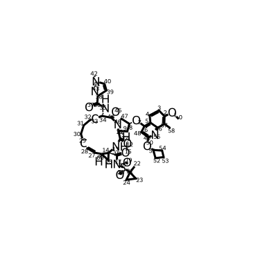 COc1ccc2c(O[C@@H]3C[C@H]4C(=O)N[C@]5(C(=O)NS(=O)(=O)C6(C)CC6)C[C@H]5/C=C\CCCCC[C@H](NC(=O)c5ccn(C)n5)C(=O)N4C3)cc(OC3CCC3)nc2c1C